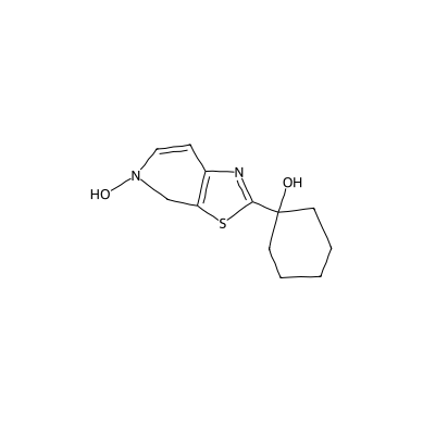 ON1C=Cc2nc(C3(O)CCCCC3)sc2C1